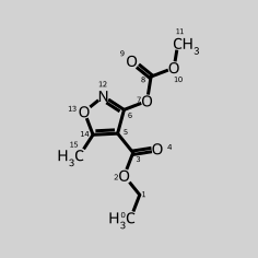 CCOC(=O)c1c(OC(=O)OC)noc1C